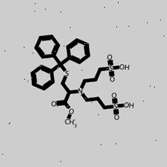 COC(=O)C(CSC(c1ccccc1)(c1ccccc1)c1ccccc1)N(CCCS(=O)(=O)O)CCCS(=O)(=O)O